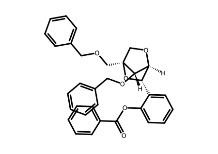 O=C(Oc1ccccc1[C@@H]1O[C@@]2(COCc3ccccc3)CO[C@@H]1[C@@H]2OCc1ccccc1)c1ccccc1